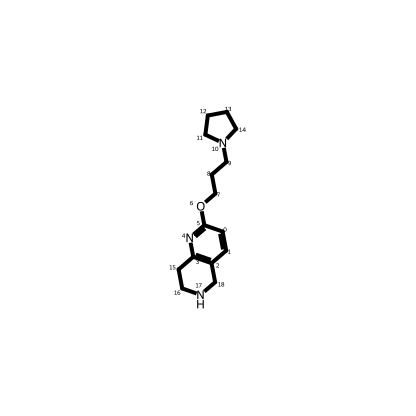 c1cc2c(nc1OCCCN1CCCC1)CCNC2